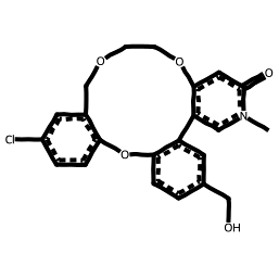 Cn1cc2c(cc1=O)OCCOCc1cc(Cl)ccc1Oc1ccc(CO)cc1-2